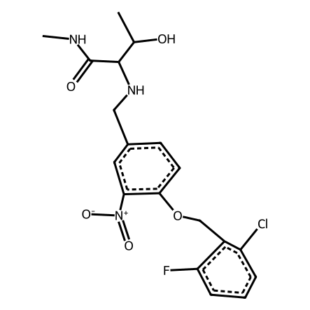 CNC(=O)C(NCc1ccc(OCc2c(F)cccc2Cl)c([N+](=O)[O-])c1)C(C)O